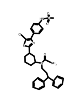 CS(=O)(=O)Nc1ccc(-c2nc(C3CCCC(N(CCC(c4ccccc4)c4ccccc4)C(N)=O)C3)sc2Cl)cc1